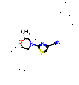 C[C@@H]1CN(c2nc(C#N)cs2)CCO1